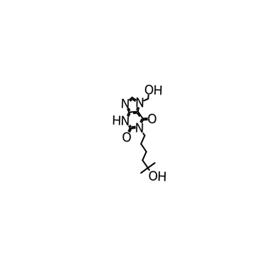 CC(C)(O)CCCCn1c(=O)[nH]c2ncn(CO)c2c1=O